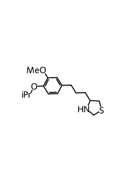 COc1cc(CCCC2CSCN2)ccc1OC(C)C